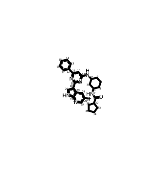 O=C(NC1CCCC(Nc2cc(-c3ccccc3)nc(-c3c[nH]c4ncc(F)cc34)n2)C1)C1CCCC1